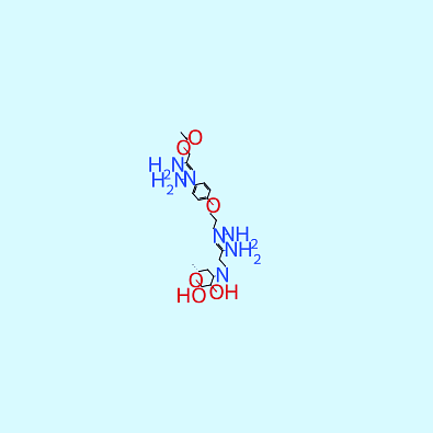 CC(=O)OC/C(N)=C/N(N)c1ccc(OCCCN(N)/C=C(\N)CCN(C)[C@H]2C[C@@H](C)O[C@@H](O)[C@@H]2O)cc1